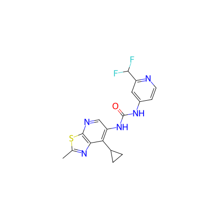 Cc1nc2c(C3CC3)c(NC(=O)Nc3ccnc(C(F)F)c3)cnc2s1